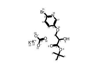 CC(C)(C)OC(=O)C(O)COc1ccc(Br)nc1.O=C([O-])[O-].[K+].[K+]